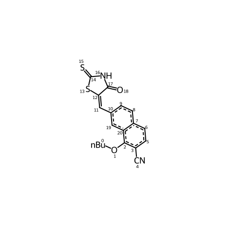 CCCCOc1c(C#N)ccc2ccc(/C=C3/SC(=S)NC3=O)cc12